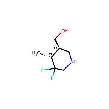 C[C@@H]1[C@@H](CO)CNCC1(F)F